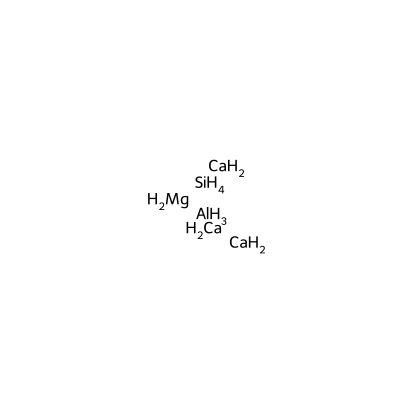 [AlH3].[CaH2].[CaH2].[CaH2].[MgH2].[SiH4]